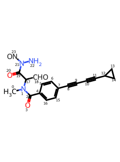 CN(C(=O)c1ccc(C#CC#CC2CC2)cc1)C(C=O)C(=O)N(N)N=O